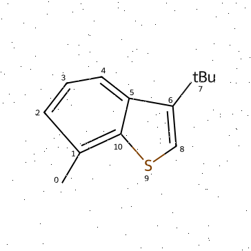 Cc1cccc2c(C(C)(C)C)csc12